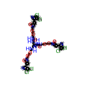 CNC(CCNCCOCCOCCN1Cc2ccc(C3CN(C)Cc4c(Cl)cc(Cl)cc43)cc2C1=O)(CCNC(=O)NCCOCCOCCN1Cc2ccc(C3CN(C)Cc4c(Cl)cc(Cl)cc43)cc2C1=O)CCNC(=O)NCCOCCOCCN1Cc2ccc(C3CN(C)Cc4c(Cl)cc(Cl)cc43)cc2C1=O